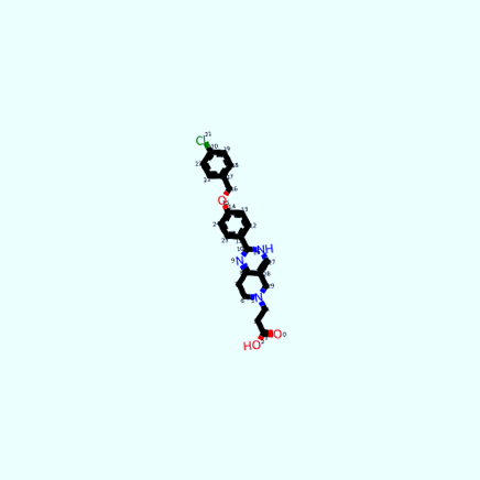 O=C(O)CCN1CCC2=NC(c3ccc(OCc4ccc(Cl)cc4)cc3)NC=C2C1